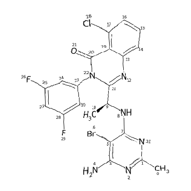 Cc1nc(N)c(Br)c(N[C@@H](C)c2nc3cccc(Cl)c3c(=O)n2-c2cc(F)cc(F)c2)n1